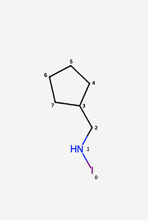 INCC1CCCC1